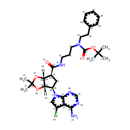 CC(C)(C)OC(=O)N(CCCNC(=O)[C@H]1C[C@@H](n2cc(Br)c3c(N)ncnc32)[C@@H]2OC(C)(C)O[C@@H]21)CCc1ccccc1